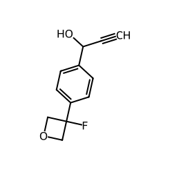 C#CC(O)c1ccc(C2(F)COC2)cc1